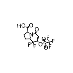 O=C(O)[C@@H]1CCC2N1C(=O)C=C(OS(=O)(=O)C(F)(F)F)C2(F)F